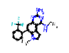 CNc1nc(N)nc2cc(-c3ccccc3C(F)(F)F)c3c(ccn3C)c12